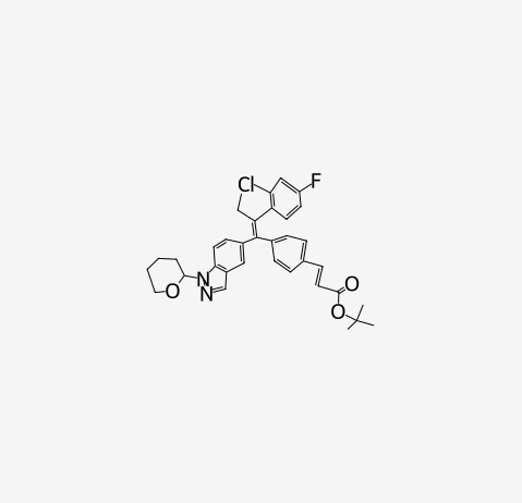 CC/C(=C(/c1ccc(/C=C/C(=O)OC(C)(C)C)cc1)c1ccc2c(cnn2C2CCCCO2)c1)c1ccc(F)cc1Cl